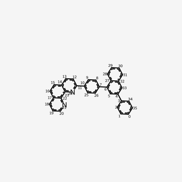 c1ccc(-c2cc(-c3ccc(-c4ccc5ccc6cccnc6c5n4)cc3)c3ccccc3c2)cc1